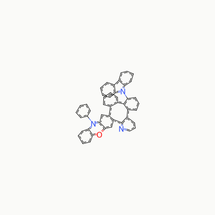 c1ccc(-n2c3ccccc3oc3cc4c(cc32)c2ccccc2c2c(-n3c5ccccc5c5ccccc53)cccc2c2cccnc42)cc1